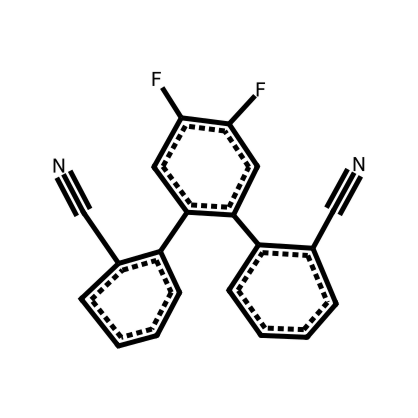 N#Cc1ccccc1-c1cc(F)c(F)cc1-c1ccccc1C#N